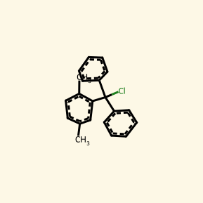 Cc1ccc(C)c(C(Cl)(c2ccccc2)c2ccccc2)c1